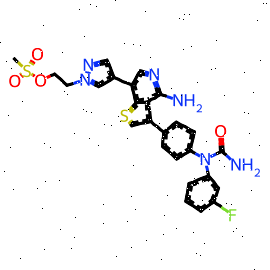 CS(=O)(=O)OCCn1cc(-c2cnc(N)c3c(-c4ccc(N(C(N)=O)c5cccc(F)c5)cc4)csc23)cn1